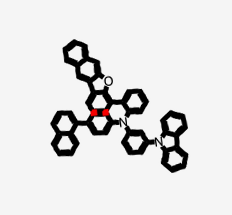 c1cc(N(c2ccc(-c3cccc4ccccc34)cc2)c2ccccc2-c2cccc3c2oc2cc4ccccc4cc23)cc(-n2c3ccccc3c3ccccc32)c1